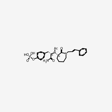 CC(=O)N([C@@H](Cc1ccc(OP(=O)(O)O)cc1)C(N)=O)[C@H]1CCCCN(CC=Cc2ccccc2)C1=O